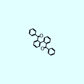 O=C(c1ccccc1)c1ccccc1-c1ccccc1C(=O)c1ccccc1